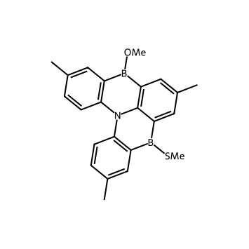 COB1c2cc(C)ccc2N2c3ccc(C)cc3B(SC)c3cc(C)cc1c32